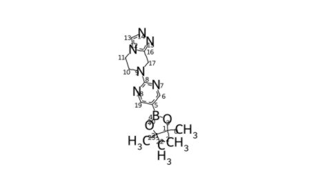 CC1(C)OB(c2cnc(N3CCn4cnnc4C3)nc2)OC1(C)C